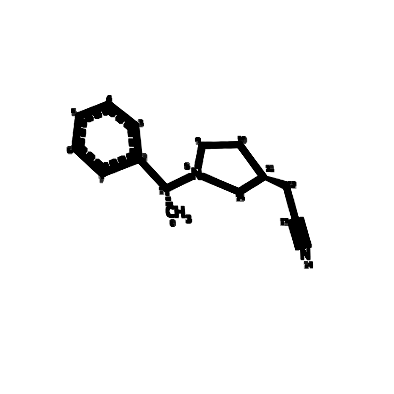 C[C@H](c1ccccc1)N1CC[C@@H](CC#N)C1